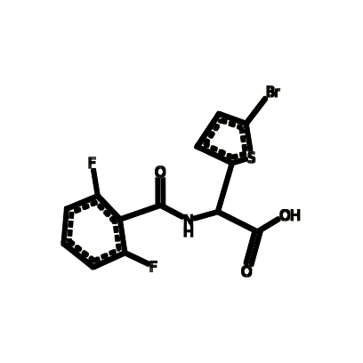 O=C(NC(C(=O)O)c1ccc(Br)s1)c1c(F)cccc1F